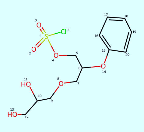 O=S(=O)(Cl)OCC(COCC(O)CO)Oc1ccccc1